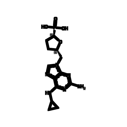 Nc1nc(NC2CC2)c2ncn(C[C@@H]3CC[C@H](P(=O)(O)O)O3)c2n1